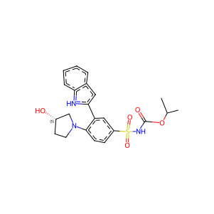 CC(C)OC(=O)NS(=O)(=O)c1ccc(N2CC[C@H](O)C2)c(-c2cc3ccccc3[nH]2)c1